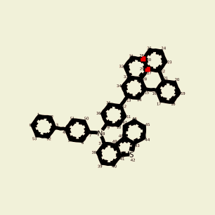 c1ccc(-c2ccc(N(c3ccc(-c4cc(-c5ccccc5-c5ccccc5)c5ccccc5c4)cc3)c3cccc4sc5ccccc5c34)cc2)cc1